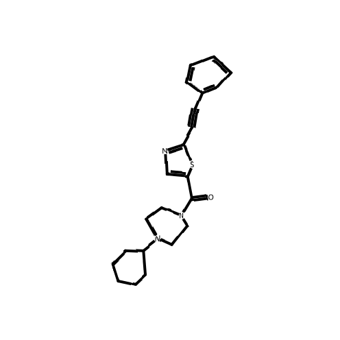 O=C(c1cnc(C#Cc2ccccc2)s1)N1CCN(C2CCCCC2)CC1